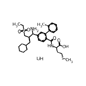 CCS(=O)(=O)CC(CC1CCCCC1)C(N)c1ccc(C(=O)NC(CCSC)C(=O)O)c(-c2ccccc2C)c1.[LiH]